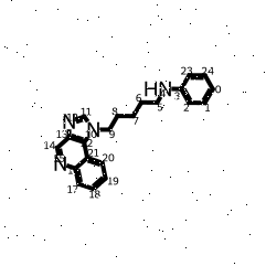 c1ccc(NCCCCCn2cnc3cnc4ccccc4c32)cc1